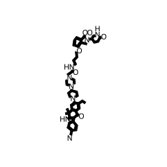 CCc1cc2c(cc1N1CCC(N3CCN(CC(=O)NCCCCOc4cccc5c4CN(C4CCC(=O)NC4=O)C5=O)CC3)CC1)C(C)(C)c1[nH]c3cc(C#N)ccc3c1C2=O